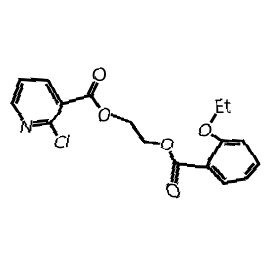 CCOc1ccccc1C(=O)OCCOC(=O)c1cccnc1Cl